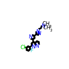 CN(C)CCCn1cc(-c2cncc(-c3cc(-c4cc(Cl)ccc4F)nc4ncccc34)c2)cn1